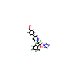 O=Cc1ccc(-c2ccc(C(F)(F)C(O)(Cn3cncn3)c3ccc(F)cc3F)nc2)cc1